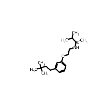 CC(C)[C@H](C)NCCOc1cccc(CCC(C)(C)C)c1